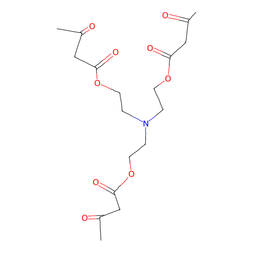 CC(=O)CC(=O)OCCN(CCOC(=O)CC(C)=O)CCOC(=O)CC(C)=O